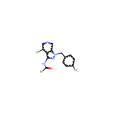 CCC(=O)Nc1nn(Cc2ccc(C(F)(F)F)cc2)c2cncc(Cl)c12